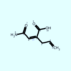 C=CC/C(=C/C(N)=O)C(=O)O